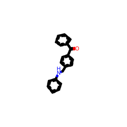 O=C(c1ccccc1)c1ccc(CNc2ccccc2)cc1